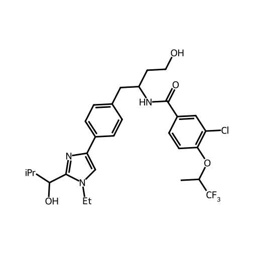 CCn1cc(-c2ccc(CC(CCO)NC(=O)c3ccc(OC(C)C(F)(F)F)c(Cl)c3)cc2)nc1C(O)C(C)C